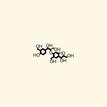 OCc1cc([C@@H](O)[C@@H](CO)Oc2ccc([C@@H](O)[C@H](O)CO)cc2CO)ccc1O